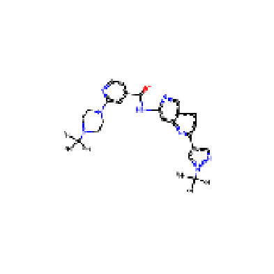 [2H]C([2H])([2H])N1CCN(c2cc(C(=O)Nc3cc4nc(-c5cnn(C([2H])([2H])[2H])c5)ccc4cn3)ccn2)CC1